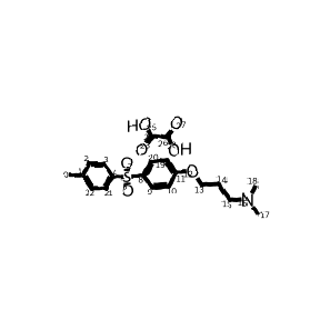 Cc1ccc(S(=O)(=O)c2ccc(OCCCN(C)C)cc2)cc1.O=C(O)C(=O)O